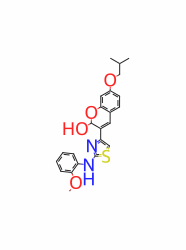 COc1ccccc1Nc1nc(C2=Cc3ccc(OCC(C)C)cc3OC2O)cs1